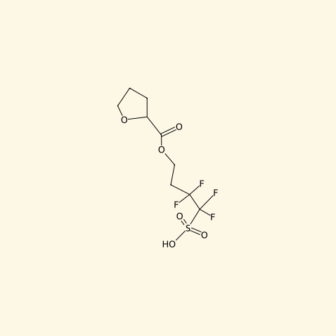 O=C(OCCC(F)(F)C(F)(F)S(=O)(=O)O)C1CCCO1